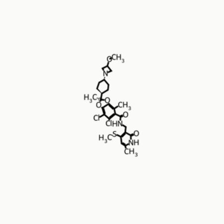 COC1CN([C@H]2CC[C@H]([C@@]3(C)Oc4c(C)c(C(=O)NCc5c(SC)cc(C)[nH]c5=O)c(Cl)c(Cl)c4O3)CC2)C1